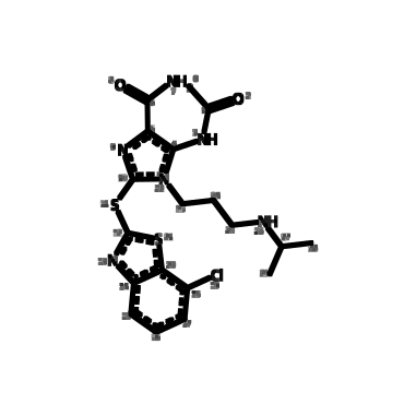 CC(=O)Nc1c(C(N)=O)nc(Sc2nc3cccc(Cl)c3s2)n1CCCNC(C)C